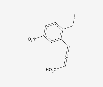 O=C(O)C=C=Cc1cc([N+](=O)[O-])ccc1CI